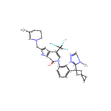 C[C@H]1CCCN(Cc2cc3c(C(F)(F)F)cn(-c4cccc(C5(c6nncn6C)CC6(CC6)C5)c4)c(=O)c3[nH]2)C1